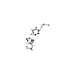 O=C/C=C/c1ccc(Cc2nc3ccccc3[nH]2)cc1